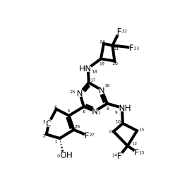 O[C@@H]1CCCC(c2nc(NC3CC(F)(F)C3)nc(NC3CC(F)(F)C3)n2)=C1F